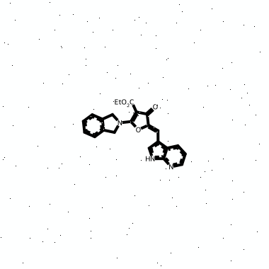 CCOC(=O)C1=C(N2Cc3ccccc3C2)O/C(=C\c2c[nH]c3ncccc23)C1=O